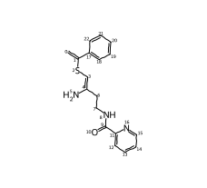 C=C(S/C=C(\N)CCNC(=O)c1ccccn1)c1ccccc1